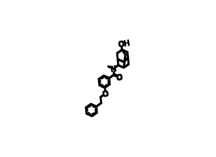 CN(C(=O)c1cccc(OCCc2ccccc2)c1)C1C2CC3CC1CC(O)(C3)C2